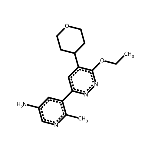 CCOc1nnc(-c2cc(N)cnc2C)cc1C1CCOCC1